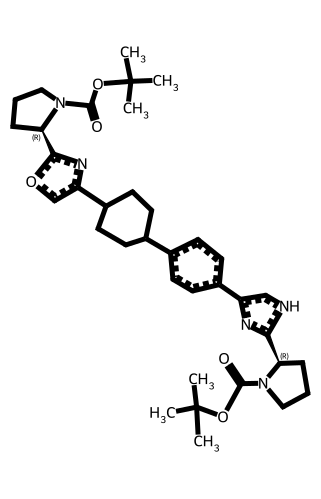 CC(C)(C)OC(=O)N1CCC[C@@H]1c1nc(-c2ccc(C3CCC(c4coc([C@H]5CCCN5C(=O)OC(C)(C)C)n4)CC3)cc2)c[nH]1